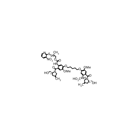 C=C1C[C@@H](CO)N(C(=O)c2cc(OC)c(OCCCCCOc3cc(NC(=O)OC[C@@H](C)SSc4ncccc4[N+](=O)[O-])c(C(=O)N4CC(=C)C[C@H]4CO)cc3OC)cc2NC(=O)O)C1